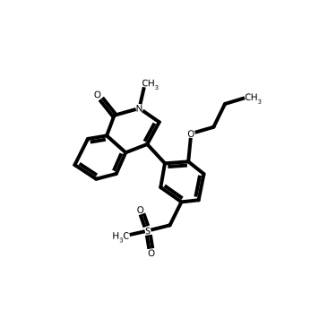 CCCOc1ccc(CS(C)(=O)=O)cc1-c1cn(C)c(=O)c2ccccc12